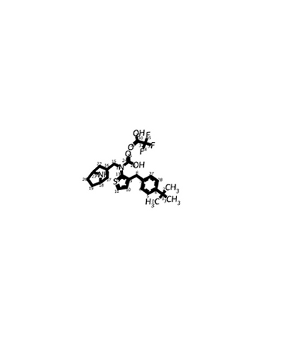 CC(C)(C)c1ccc(Cc2ccsc2N(CC2CC3CCC(C2)N3)C(=O)O)cc1.O=C(O)C(F)(F)F